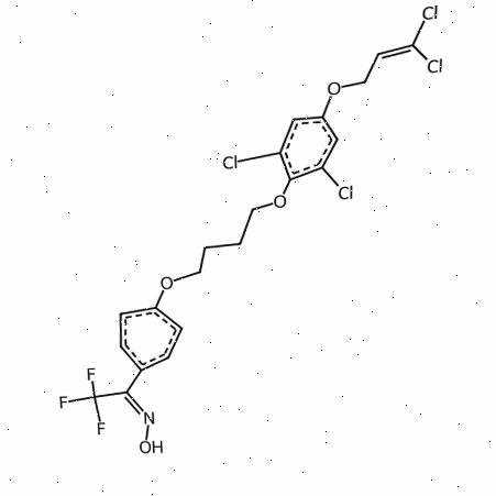 ON=C(c1ccc(OCCCCOc2c(Cl)cc(OCC=C(Cl)Cl)cc2Cl)cc1)C(F)(F)F